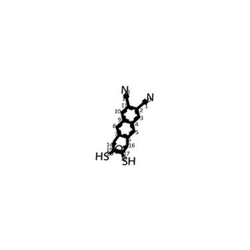 N#Cc1cc2cc3c(cc2cc1C#N)C1OC3C(S)=C1S